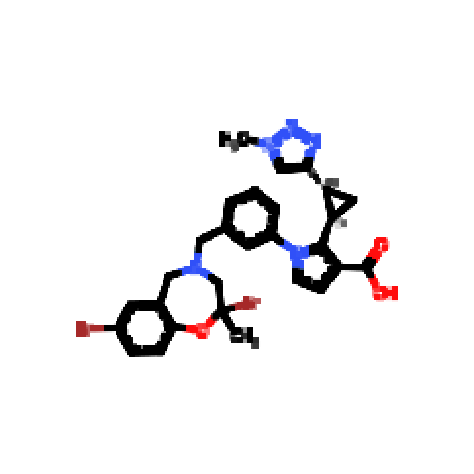 Cn1cc([C@@H]2C[C@H]2c2c(C(=O)O)ccn2-c2cccc(CN3Cc4cc(Br)ccc4OC(C)(Br)C3)c2)nn1